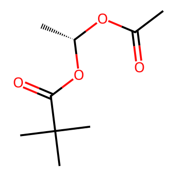 CC(=O)O[C@@H](C)OC(=O)C(C)(C)C